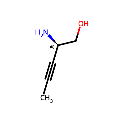 CC#C[C@@H](N)CO